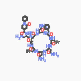 CC(C)C[C@@H]1NC(=O)[C@H](CCN)NC(=O)[C@H](CCN)NC(=O)[C@H](CC(C)C)NC(=O)[C@@H](Cc2ccccc2)NC(=O)[C@H](CCN)NC(=O)[C@@H](NC(=O)[C@@H](CN)NC(=O)c2ccn(-c3ccccc3)c(=O)c2)CCNC1=O